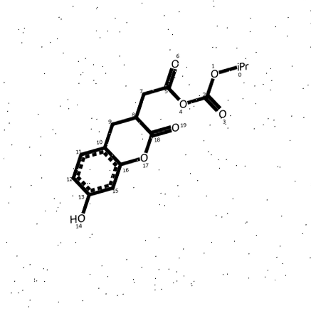 CC(C)OC(=O)OC(=O)CC1Cc2ccc(O)cc2OC1=O